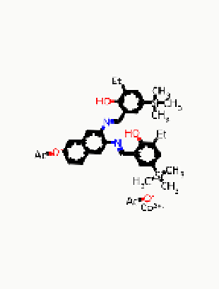 CC(=O)[O-].CC(=O)[O-].CCc1cc([Si](C)(C)C)cc(C=Nc2cc3ccccc3cc2N=Cc2cc([Si](C)(C)C)cc(CC)c2O)c1O.[Co+2]